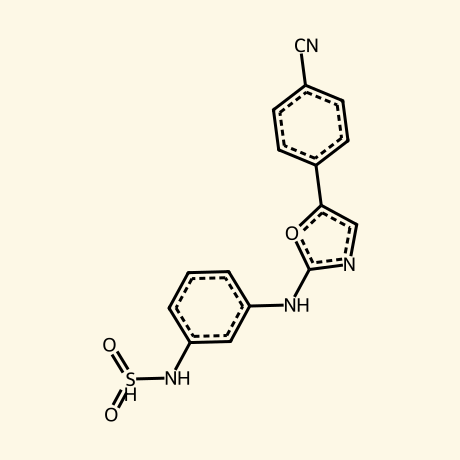 N#Cc1ccc(-c2cnc(Nc3cccc(N[SH](=O)=O)c3)o2)cc1